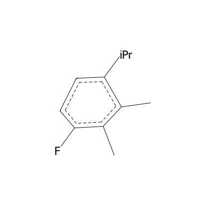 Cc1c(F)ccc(C(C)C)c1C